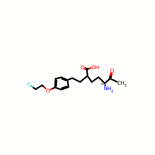 CC(=O)[C@@H](N)CCC(CCc1ccc(OCCF)cc1)C(=O)O